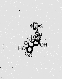 CN1CSC(=S)N(COP2(=O)O[C@@H]3[C@H](O2)[C@@H](O)C=C2C4C=C5OCOC5=C(O)C4C(=O)N[C@H]23)C1